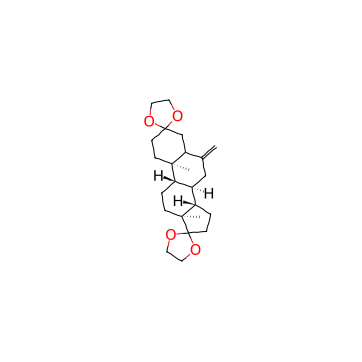 C=C1C[C@@H]2[C@H](CC[C@@]3(C)[C@H]2CCC32OCCO2)[C@@]2(C)CCC3(CC12)OCCO3